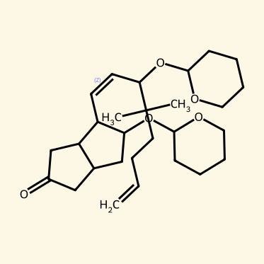 C=CCCC(C)(C)C(/C=C\C1C(OC2CCCCO2)CC2CC(=O)CC21)OC1CCCCO1